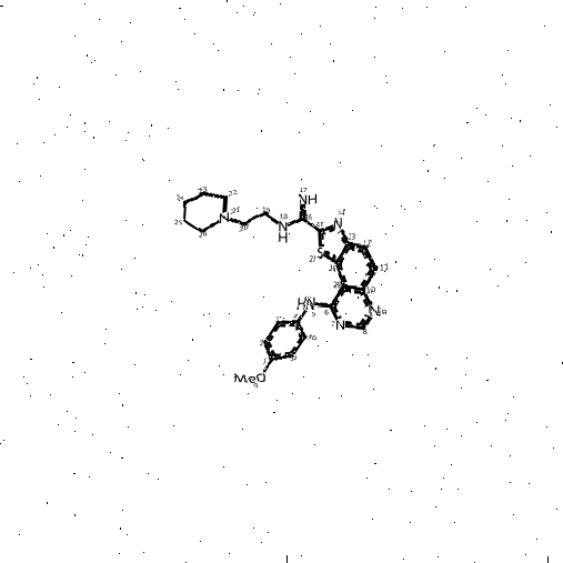 COc1ccc(Nc2ncnc3ccc4nc(C(=N)NCCN5CCCCC5)sc4c23)cc1